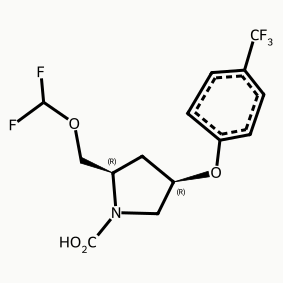 O=C(O)N1C[C@H](Oc2ccc(C(F)(F)F)cc2)C[C@@H]1COC(F)F